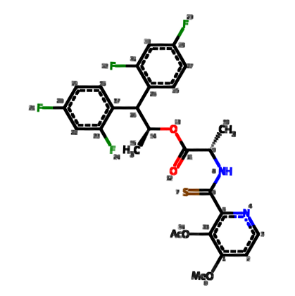 COc1ccnc(C(=S)N[C@@H](C)C(=O)O[C@@H](C)C(c2ccc(F)cc2F)c2ccc(F)cc2F)c1OC(C)=O